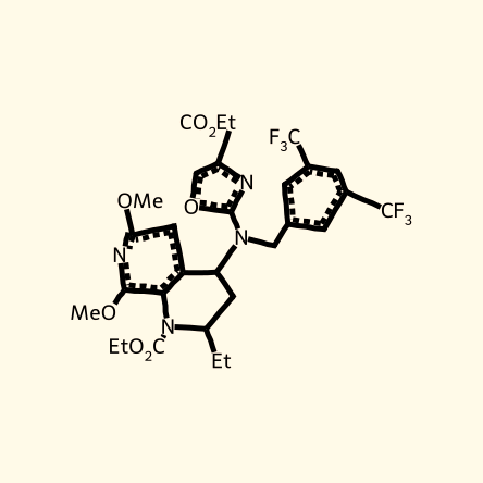 CCOC(=O)c1coc(N(Cc2cc(C(F)(F)F)cc(C(F)(F)F)c2)C2CC(CC)N(C(=O)OCC)c3c2cc(OC)nc3OC)n1